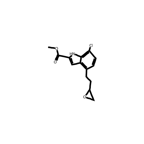 COC(=O)c1cc2c(CCC3CO3)ccc(Cl)c2[nH]1